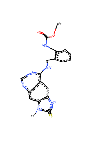 CCn1c(=S)[nH]c2cc3c(NCc4ccccc4NC(=O)OC(C)(C)C)ncnc3cc21